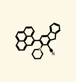 N#Cc1c2c(cc(-c3cc4cccc5ccc6cccc3c6c54)c1N1CCCCC1)-c1ccccc1C2